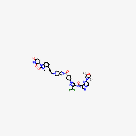 Cn1c(=O)n(C2CCC(=O)NC2=O)c2cccc(C#CCN3CCC4(CC3)CN(C(=O)[C@H]3CC[C@H](n5cc(NC(=O)c6cnn7ccc(N8C[C@H]9C[C@@H]8CO9)nc67)c(C(F)F)n5)CC3)C4)c21